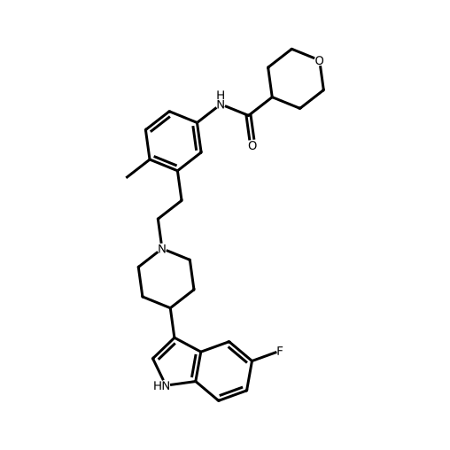 Cc1ccc(NC(=O)C2CCOCC2)cc1CCN1CCC(c2c[nH]c3ccc(F)cc23)CC1